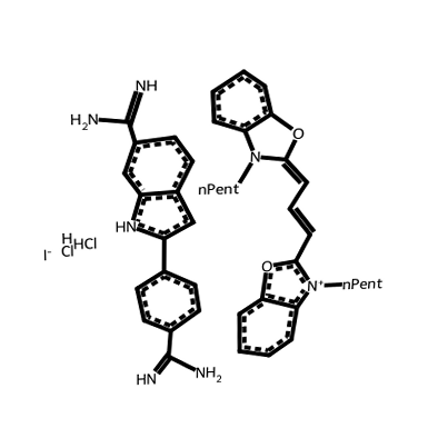 CCCCCN1C(=CC=Cc2oc3ccccc3[n+]2CCCCC)Oc2ccccc21.Cl.Cl.N=C(N)c1ccc(-c2cc3ccc(C(=N)N)cc3[nH]2)cc1.[I-]